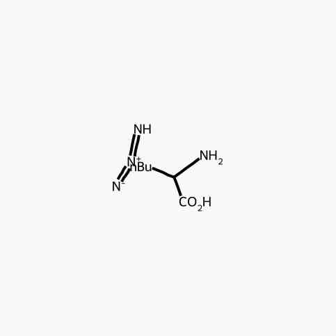 CCCCC(N)C(=O)O.[N-]=[N+]=N